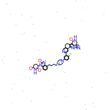 CN1CC2(CNC(=O)c3c2[nH]c2c3CCc3cnc(-c4cc(N5CCN(CCCCc6cccc7c6n(C)c(=O)n7C6CCC(=O)NC6=O)CC5)ccc4F)cc3-2)C1